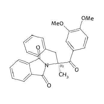 COc1ccc(C(=O)[C@](C)(Cc2ccccc2)N2C(=O)c3ccccc3C2=O)cc1OC